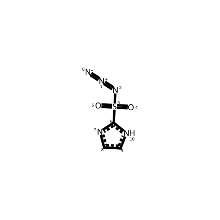 [N-]=[N+]=NS(=O)(=O)c1ncc[nH]1